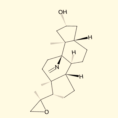 C=N[C@]12CC[C@@]3(C)[C@@H](CC[C@@H]3[C@]3(C)CO3)[C@@H]1CC[C@H]1C[C@@H](O)C[C@@]12C